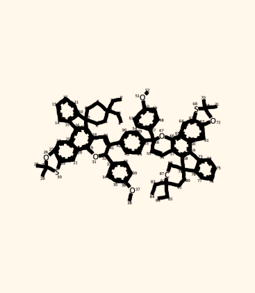 CCC1(CC)CCC2(CC1)c1ccccc1-c1c2c2c(c3cc4c(cc13)OC(C)(C)S4)OC(c1ccc(OC)cc1)C(c1ccc(C3(c4ccc(OC)cc4)C=Cc4c5c(c6cc7c(cc6c4O3)SC(C)(C)O7)-c3ccccc3C53CCC(CC)(CC)CC3)cc1)=C2